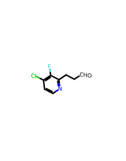 O=CC[CH]c1nccc(Cl)c1F